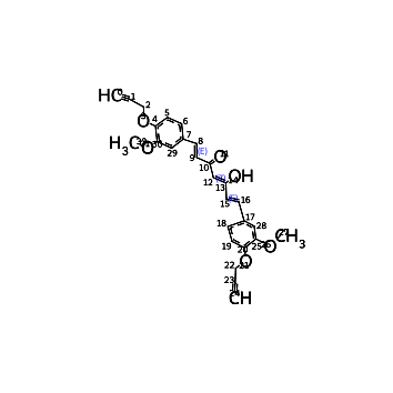 C#CCOc1ccc(/C=C/C(=O)/C=C(O)/C=C/c2ccc(OCC#C)c(OC)c2)cc1OC